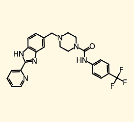 O=C(Nc1ccc(C(F)(F)F)cc1)N1CCN(Cc2ccc3[nH]c(-c4ccccn4)nc3c2)CC1